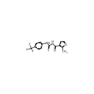 Cc1occc1C(=O)NC(=S)Nc1ccc(C(F)(F)F)cc1